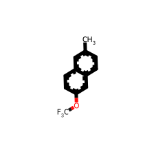 Cc1ccc2cc(OC(F)(F)F)ccc2c1